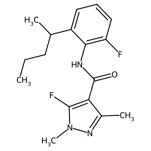 CCCC(C)c1cccc(F)c1NC(=O)c1c(C)nn(C)c1F